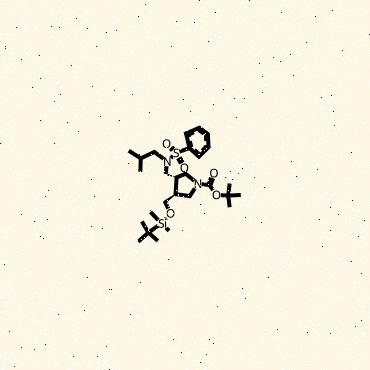 CC(C)CN(C[C@@H]1CN(C(=O)OC(C)(C)C)C[C@H]1CO[Si](C)(C)C(C)(C)C)S(=O)(=O)c1ccccc1